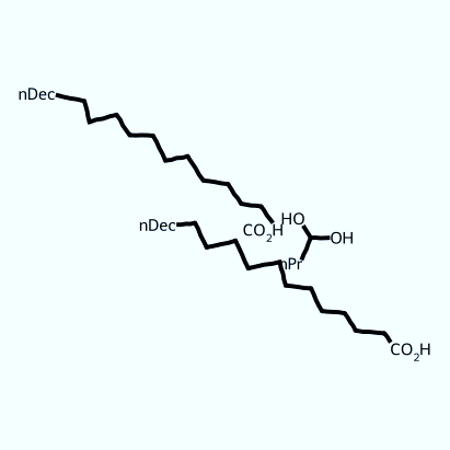 CCCC(O)O.CCCCCCCCCCCCCCCCCCCCCC(=O)O.CCCCCCCCCCCCCCCCCCCCCC(=O)O